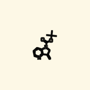 C=C1CN(C(=O)OC(C)(C)C)c2cccnc21